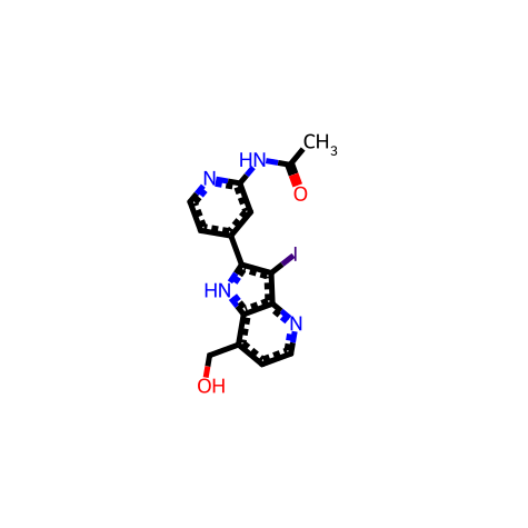 CC(=O)Nc1cc(-c2[nH]c3c(CO)ccnc3c2I)ccn1